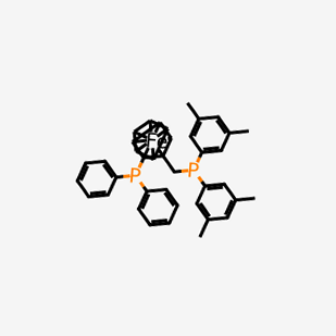 Cc1cc(C)cc(P(C[C]23[CH]4[CH]5[CH]6[C]2(P(c2ccccc2)c2ccccc2)[Fe]54632789[CH]3[CH]2[CH]7[CH]8[CH]39)c2cc(C)cc(C)c2)c1